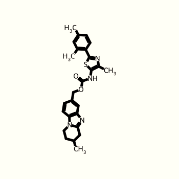 Cc1ccc(-c2nc(C)c(NC(=O)OCc3ccc4c(c3)nc3n4CCC(C)C3)s2)c(C)c1